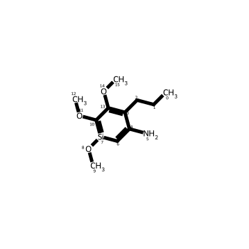 CCCc1c(N)c[si](OC)c(OC)c1OC